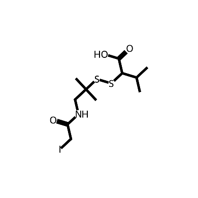 CC(C)C(SSC(C)(C)CNC(=O)CI)C(=O)O